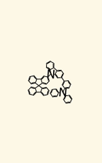 c1ccc(N(c2ccccc2)c2cccc(-c3ccc4c5ccccc5n(-c5ccc6c(c5)-c5ccccc5C65c6ccccc6-c6ccccc65)c4c3)c2)cc1